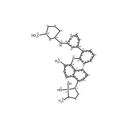 Cc1ccc2c(N3CCC(C)S3(O)O)cccc2c1Oc1ncccc1-c1ccnc(NC2CCCN(C(=O)O)C2)n1